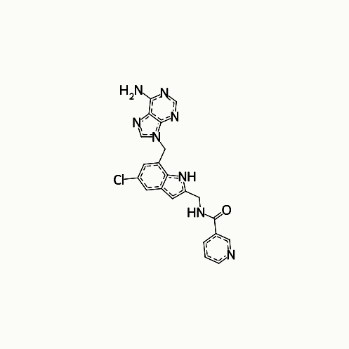 Nc1ncnc2c1ncn2Cc1cc(Cl)cc2cc(CNC(=O)c3cccnc3)[nH]c12